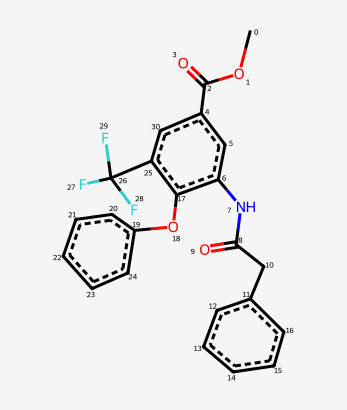 COC(=O)c1cc(NC(=O)Cc2ccccc2)c(Oc2ccccc2)c(C(F)(F)F)c1